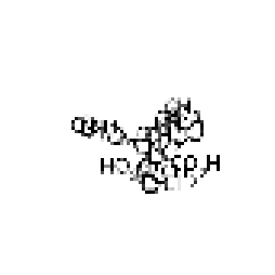 CN1C(CCc2ccccc2NS(C)(=O)=O)=C(C(=O)O)C(C)(c2c(Cl)cccc2Cl)C(C(=O)O)=C1CC(=O)N1CCN(C2CC3CCC(C2)N3C)CC1